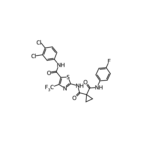 O=C(Nc1ccc(Cl)c(Cl)c1)c1sc(NC(=O)C2(C(=O)Nc3ccc(F)cc3)CC2)nc1C(F)(F)F